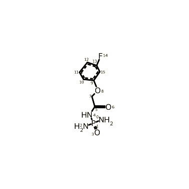 NP(N)(=O)NC(=O)COc1cccc(F)c1